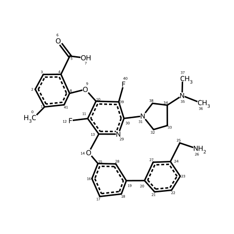 Cc1ccc(C(=O)O)c(Oc2c(F)c(Oc3cccc(-c4cccc(CN)c4)c3)nc(N3CCC(N(C)C)C3)c2F)c1